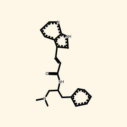 CN(C)CC(Cc1ccccc1)NC(=O)/C=C/c1c[nH]c2ncccc12